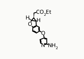 CCOC(=O)C[C@@H]1[C@H]2Oc3ccc(Oc4ccnc(N)c4)cc3[C@@H]12